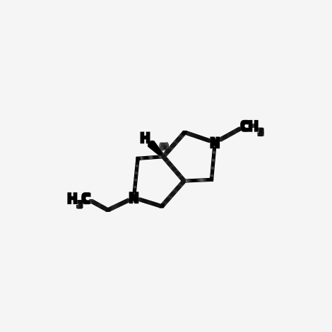 CCN1CC2CN(C)C[C@H]2C1